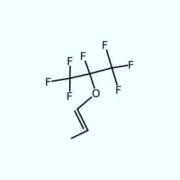 C/C=C/OC(F)(C(F)(F)F)C(F)(F)F